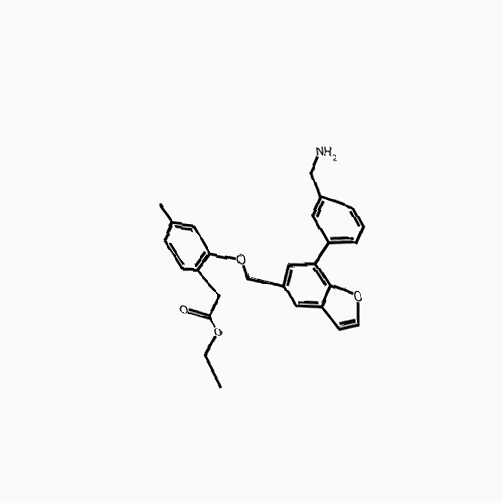 CCOC(=O)Cc1ccc(C)cc1OCc1cc(-c2cccc(CN)c2)c2occc2c1